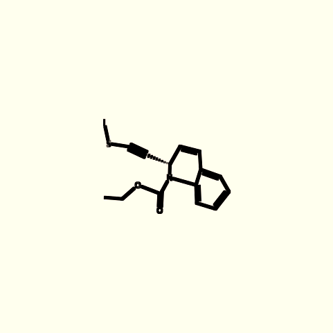 CCOC(=O)N1c2ccccc2C=C[C@H]1C#CSI